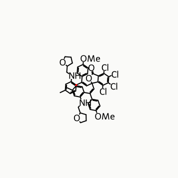 COc1ccc(C(=CC2(C=C(c3ccc(OC)cc3)c3ccc(C)cc3NCC3CCCO3)OC(=O)c3c(Cl)c(Cl)c(Cl)c(Cl)c32)c2ccc(C)cc2NCC2CCCO2)cc1